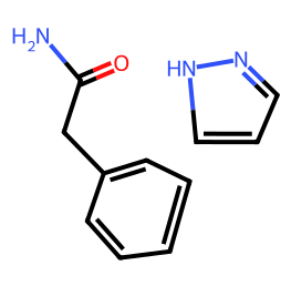 NC(=O)Cc1ccccc1.c1cn[nH]c1